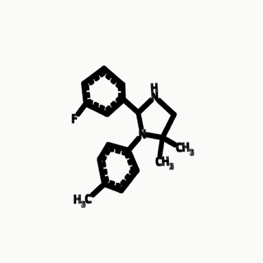 Cc1ccc(N2C(c3cccc(F)c3)NCC2(C)C)cc1